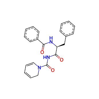 O=C(N[C@@H](Cc1ccccc1)C(=O)NC(=O)N1C=CC=CC1)c1ccccc1